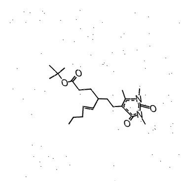 CCC/C=C/C(CCC(=O)OC(C)(C)C)CCc1c(C)n(C)c(=O)n(C)c1=O